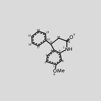 COc1ccc2c(c1)NC(=O)CC2c1ccccc1